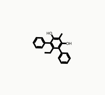 CCc1c(-c2ccccc2)c(O)c(C)c(O)c1-c1ccccc1